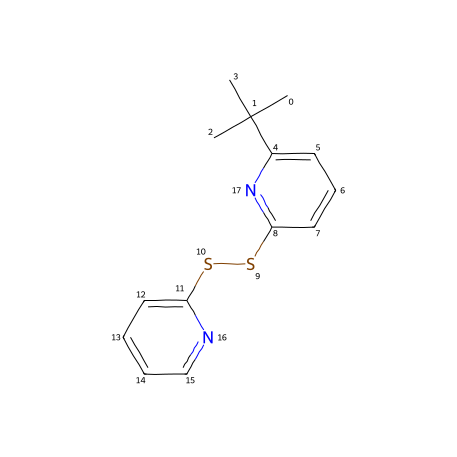 CC(C)(C)c1cccc(SSc2ccccn2)n1